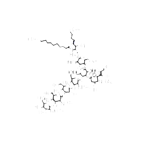 CCCCCCCCCCCCC/C=C/[C@@H](O)[C@H](CO[C@@H]1OC(CO)[C@@H](O[C@@H]2OC(CO)[C@H](O[C@@H]3OC(CO)[C@H](O)[C@H](O[C@@H]4OC(CO)[C@H](O)[C@H](O[C@@H]5OC(CO)[C@H](O)[C@H](O[C@H]6OC(CO)[C@H](O)[C@H](O)C6NC(C)=O)C5NC(C)=O)C4O)C3NC(C)=O)[C@H](O[C@]3(C(=O)O)CC(O)[C@@H](NC(C)=O)C([C@H](O)[C@H](O)CO)O3)C2O)[C@H](O)C1O)NC(=O)CCCCCCCCCCCCCCCCCCC